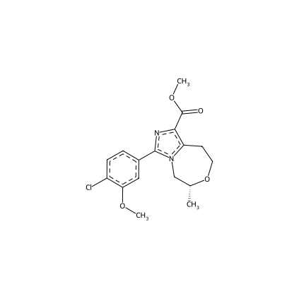 COC(=O)c1nc(-c2ccc(Cl)c(OC)c2)n2c1CCO[C@H](C)C2